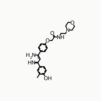 Cc1cc(C(=N)/C=C(\N)c2ccc(OCC(=O)NCCN3CCOCC3)cc2)ccc1O